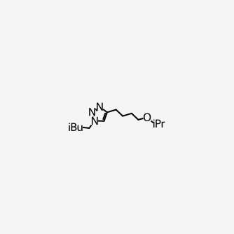 CCC(C)Cn1cc(CCCCOC(C)C)nn1